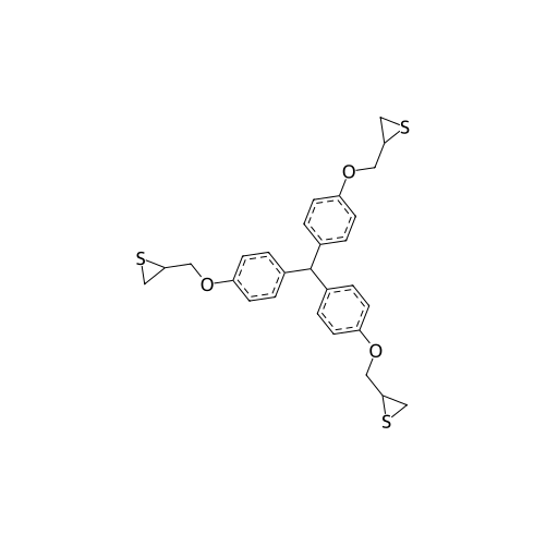 c1cc(C(c2ccc(OCC3CS3)cc2)c2ccc(OCC3CS3)cc2)ccc1OCC1CS1